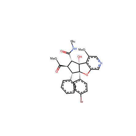 COC(=O)[C@@H]1[C@@H](c2ccccc2)[C@]2(c3ccc(Br)cc3)Oc3cncc(OC)c3[C@]2(O)[C@H]1C(=O)NC(C)(C)C